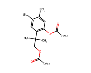 COC(=O)OCC(C)(C)c1cc(C(C)(C)C)c([N+](=O)[O-])cc1OC(=O)OC